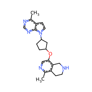 Cc1ncc(OC2CCC(n3ccc4c(C)ncnc43)C2)c2c1CCNC2